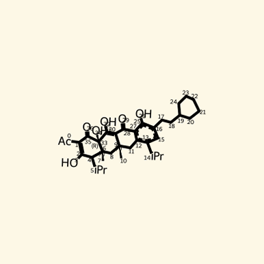 CC(=O)C1=C(O)C(C(C)C)[C@@]2(C)C[C@@]3(C)Cc4c(C(C)C)cc(CCC5CCCCC5)c(O)c4C(=O)C3=C(O)[C@@]2(O)C1=O